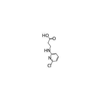 O=C(O)CCNc1cccc(Cl)n1